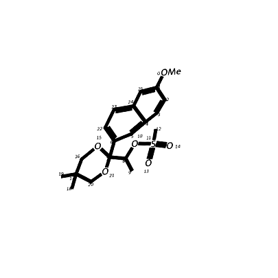 COc1ccc2cc(C3(C(C)OS(C)(=O)=O)OCC(C)(C)CO3)ccc2c1